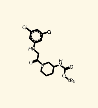 CC(C)(C)OC(=O)NC1CCCN(C(=O)CNc2cc(Cl)cc(Cl)c2)C1